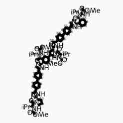 COC(=O)N[C@H](C(=O)N1CCC[C@H]1c1ncc(-c2ccc(-c3ccc(-c4cnc([C@@H]5CCC(C6C[C@@H](c7ncc(-c8ccc(-c9ccc(-c%10cnc([C@H]%11CCCC[C@H]%11C(=O)N(NC(=O)OC)C(C)C)[nH]%10)cc9)cc8)[nH]7)N(C(=O)[C@@H](NC(=O)OC)C(C)C)C6)C[C@@H]5C(=O)N(NC(=O)OC)C(C)C)[nH]4)cc3)cc2)[nH]1)C(C)C